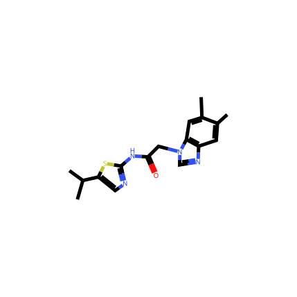 Cc1cc2ncn(CC(=O)Nc3ncc(C(C)C)s3)c2cc1C